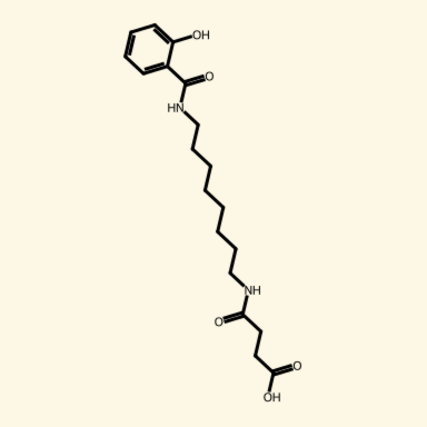 O=C(O)CCC(=O)NCCCCCCCCNC(=O)c1ccccc1O